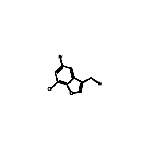 Clc1cc(Br)cc2c(CBr)coc12